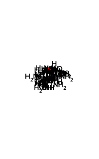 CCCC[C@H](NC(=O)[C@H](CCCNC(=N)N)NC(=O)[C@H](CCCNC(=N)N)NC(=O)[C@H](CCCNC(=N)N)NC(=O)[C@H](CCCCN)NC(=O)[C@H](CCCNC(=N)N)NC(=O)[C@H](CCCNC(=N)N)NC(=O)[C@H](CCCCN)NC(=O)CNC(=O)[C@@H](N)Cc1ccccc1)C(=O)N[C@@H](CS)C(=O)O